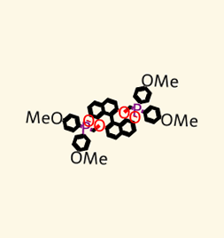 COc1ccc(P(=O)(COc2ccc3ccccc3c2-c2c(OCP(=O)(c3ccc(OC)cc3)c3ccc(OC)cc3)ccc3ccccc23)c2ccc(OC)cc2)cc1